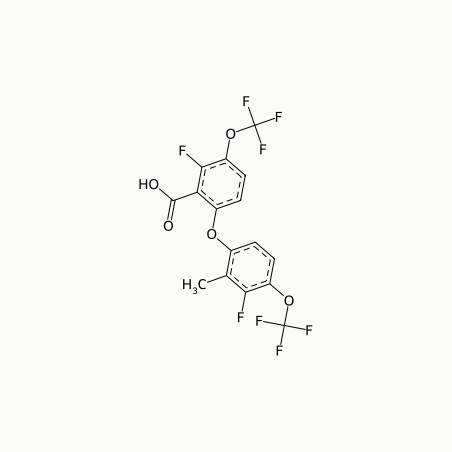 Cc1c(Oc2ccc(OC(F)(F)F)c(F)c2C(=O)O)ccc(OC(F)(F)F)c1F